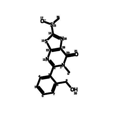 Cn1c(-c2ccccc2CO)nc2sc([S+](C)[O-])nc2c1=O